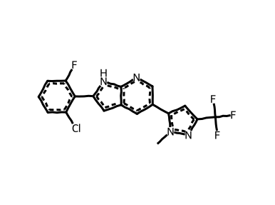 Cn1nc(C(F)(F)F)cc1-c1cnc2[nH]c(-c3c(F)cccc3Cl)cc2c1